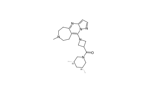 C[C@@H]1C[C@H](C)CN(C(=O)C2CN(c3c4c(nc5ccnn35)CCN(C)CC4)C2)C1